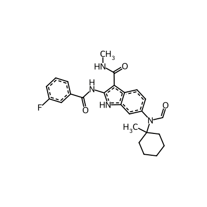 CNC(=O)c1c(NC(=O)c2cccc(F)c2)[nH]c2cc(N(C=O)C3(C)CCCCC3)ccc12